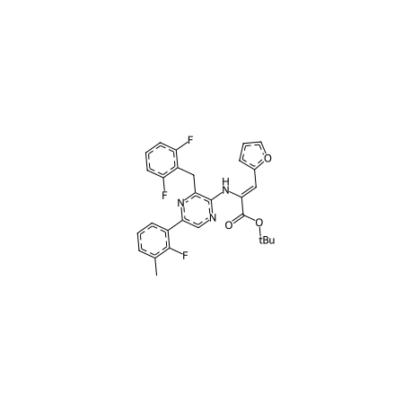 Cc1cccc(-c2cnc(N/C(=C\c3ccco3)C(=O)OC(C)(C)C)c(Cc3c(F)cccc3F)n2)c1F